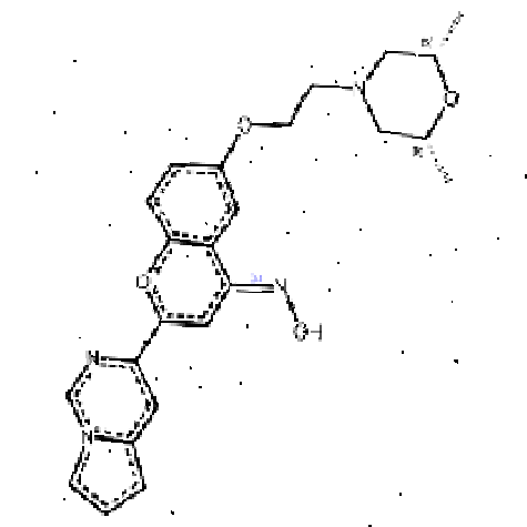 C[C@@H]1CN(CCOc2ccc3oc(-c4cc5cccn5cn4)c/c(=N\O)c3c2)C[C@H](C)O1